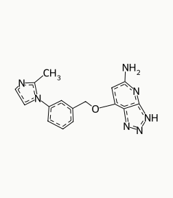 Cc1nccn1-c1cccc(COc2cc(N)nc3[nH]nnc23)c1